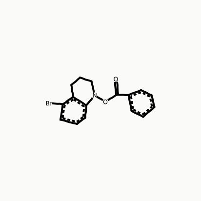 O=C(ON1CCCc2c(Br)cccc21)c1ccccc1